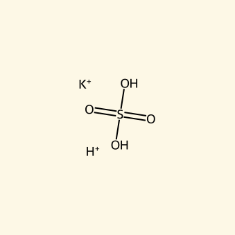 O=S(=O)(O)O.[H+].[K+]